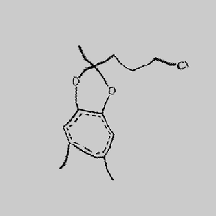 Cc1cc2c(cc1C)OC(C)(CCCCl)O2